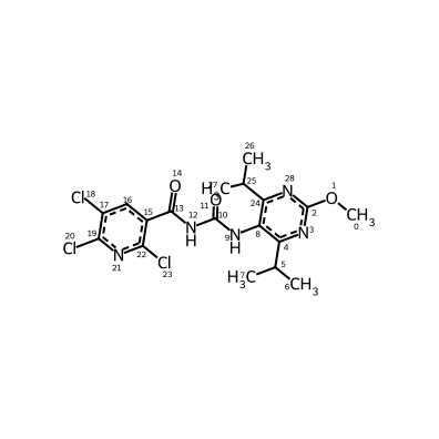 COc1nc(C(C)C)c(NC(=O)NC(=O)c2cc(Cl)c(Cl)nc2Cl)c(C(C)C)n1